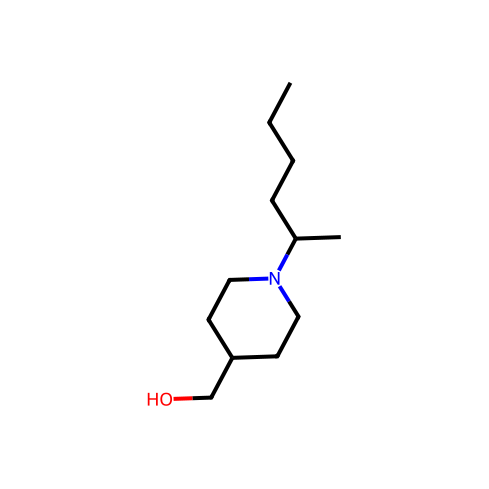 CCCCC(C)N1CCC(CO)CC1